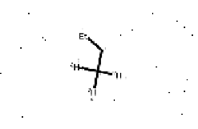 [2H]C([2H])([2H])CCC